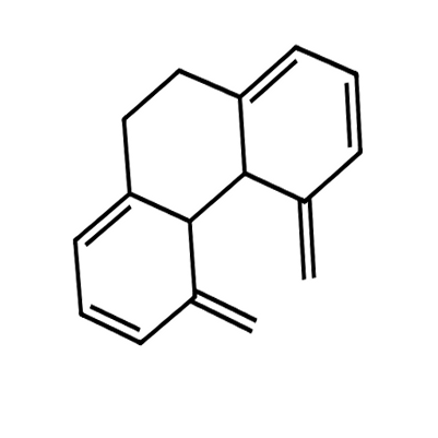 C=C1C=CC=C2CCC3=CC=CC(=C)C3C12